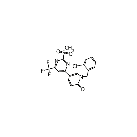 CS(=O)(=O)c1nc(-c2ccc(=O)n(Cc3ccccc3Cl)c2)cc(C(F)(F)F)n1